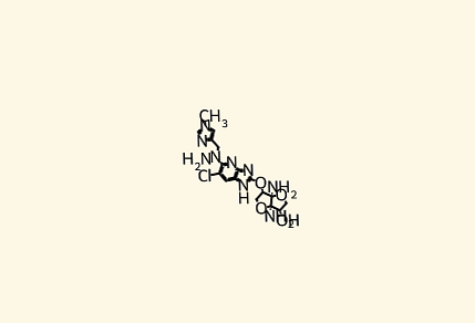 Cn1cnc(CN(N)c2nc3nc(O[C@@H]4CO[C@]5(N)[C@H](O)CO[C@]45N)[nH]c3cc2Cl)c1